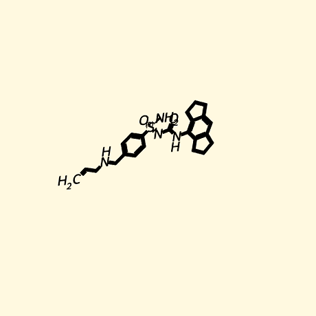 C=CCNCc1ccc([S@](N)(=O)=NC(=O)Nc2c3c(cc4c2CCC4)CCC3)cc1